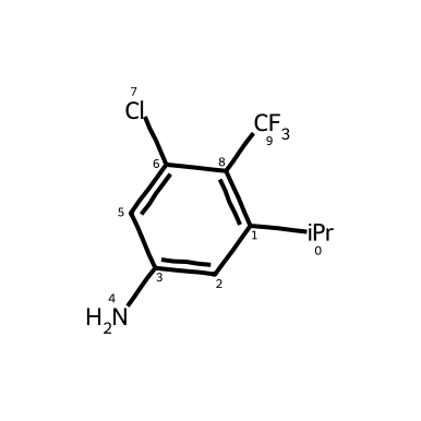 CC(C)c1cc(N)cc(Cl)c1C(F)(F)F